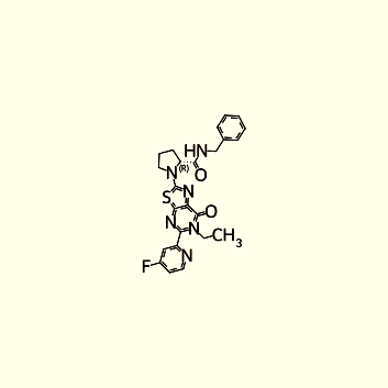 CCn1c(-c2cc(F)ccn2)nc2sc(N3CCC[C@@H]3C(=O)NCc3ccccc3)nc2c1=O